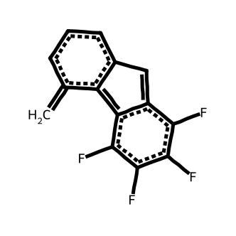 C=c1cccc2c1=c1c(F)c(F)c(F)c(F)c1=C2